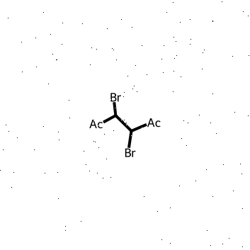 CC(=O)C(Br)C(Br)C(C)=O